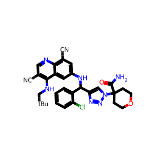 CC(C)(C)CNc1c(C#N)cnc2c(C#N)cc(NC(c3cn(C4(C(N)=O)CCOCC4)nn3)c3ccccc3Cl)cc12